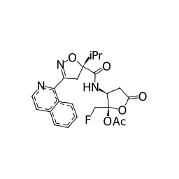 CC(=O)O[C@]1(CF)OC(=O)C[C@@H]1NC(=O)[C@]1(C(C)C)CC(c2nccc3ccccc23)=NO1